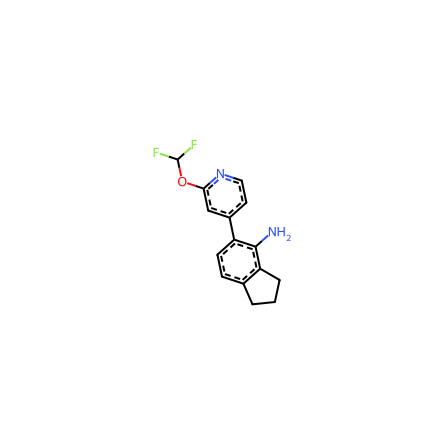 Nc1c(-c2ccnc(OC(F)F)c2)ccc2c1CCC2